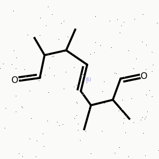 CC(C=O)C(C)/C=C/C(C)C(C)C=O